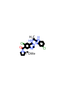 COC[C@H]1CCCN1C(=O)c1cc2ncnc(NC(C)c3nc4cc(Cl)ccc4[nH]3)c2cc1Cl